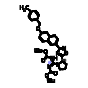 Cc1ccc(COc2ccc3cc(-c4noc([C@@H]5CCCN5/C(=N\C(=O)OC(C)(C)C)NC(=O)OC(C)(C)C)n4)ccc3c2)cc1